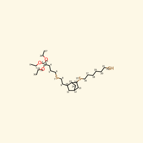 CCO[Si](CCCSCCC1CC2CC(SCCCCCCS)C1C2)(OCC)OCC